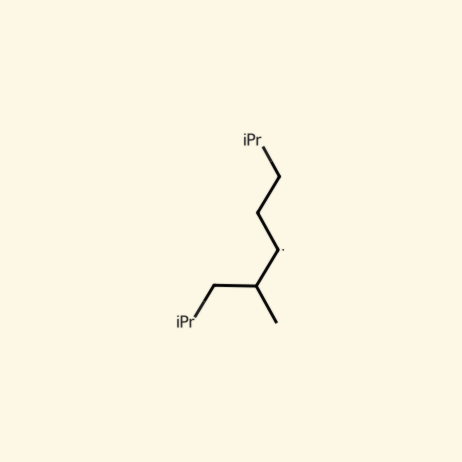 CC(C)CC[CH]C(C)CC(C)C